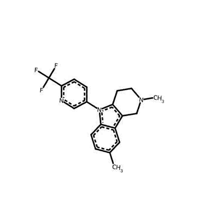 Cc1ccc2c(c1)c1c(n2-c2ccc(C(F)(F)F)nc2)CCN(C)C1